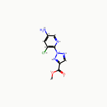 COC(=O)c1cnn(-c2ncc(N)cc2Cl)n1